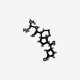 CC(C)OC(=O)C1CCCn2c(C(=O)c3ccc(Cl)s3)ccc21